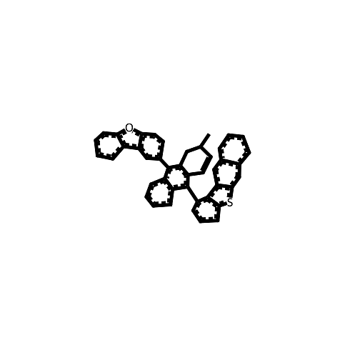 CC1C=Cc2c(c(-c3ccc4oc5ccccc5c4c3)c3ccccc3c2-c2cccc3sc4cc5ccccc5cc4c23)C1